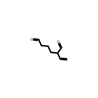 C=CC([C]=O)CCC[C]=O